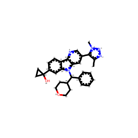 Cc1nnn(C)c1-c1cnc2c3ccc(C4(O)CC4)cc3n(C(c3ccccc3)C3CCOCC3)c2c1